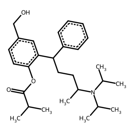 CC(C)C(=O)Oc1ccc(CO)cc1C(CCC(C)N(C(C)C)C(C)C)c1ccccc1